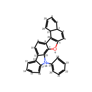 C1=CC2C=Cc3oc4c(ccc5c6ccccc6n(-c6ccccc6)c54)c3C2C=C1